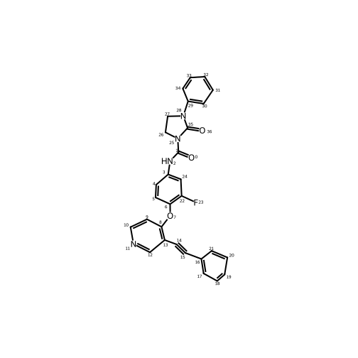 O=C(Nc1ccc(Oc2ccncc2C#Cc2ccccc2)c(F)c1)N1CCN(c2ccccc2)C1=O